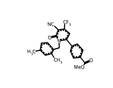 COC(=O)c1ccc(-c2cc(C(F)(F)F)c(C#N)c(=O)n2Cc2ccc(C)cc2C)cc1